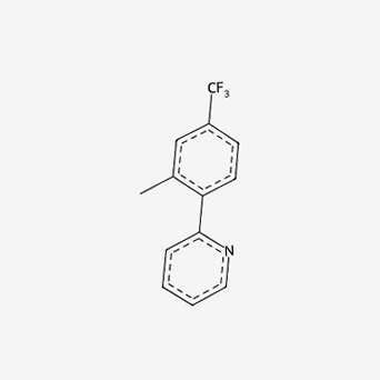 Cc1cc(C(F)(F)F)ccc1-c1ccccn1